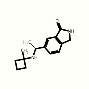 C[C@@H](NC1(C)CCC1)c1ccc2c(c1)C(=O)NC2